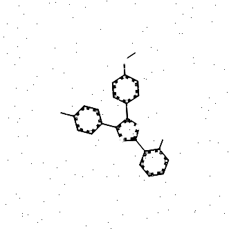 CSc1ccc(-c2sc(-c3ccccc3Cl)nc2-c2ccc(C)cc2)cc1